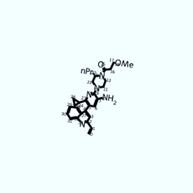 C=Cc1cc(-c2cc(N)c(N3CCN(C(=O)CCOC)[C@H](CCC)C3)nc2C2CC2)c2ccccc2n1